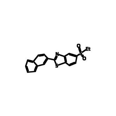 CCS(=O)(=O)c1ccc2sc(-c3ccc4ccccc4c3)nc2c1